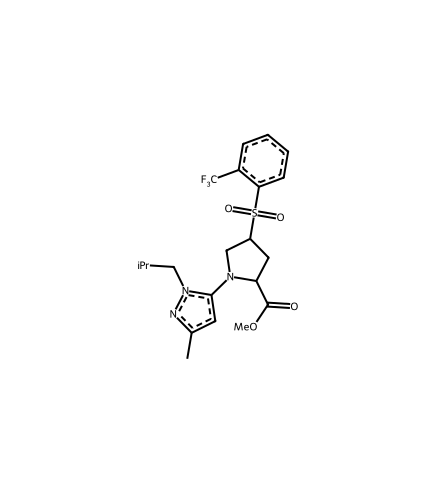 COC(=O)C1CC(S(=O)(=O)c2ccccc2C(F)(F)F)CN1c1cc(C)nn1CC(C)C